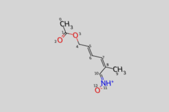 CC(=O)OC/C=C/C=C(C)\C=[NH+]\[O-]